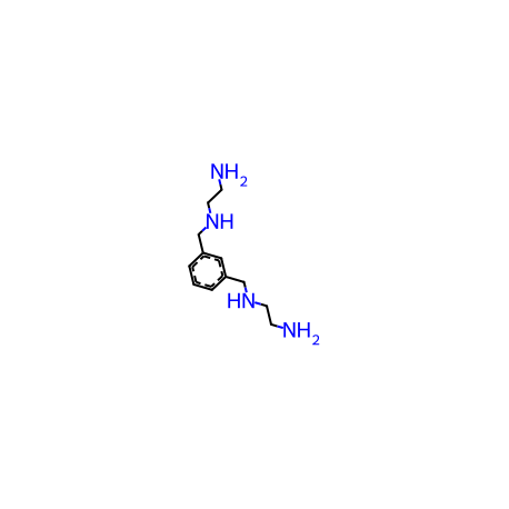 NCCNCc1cccc(CNCCN)c1